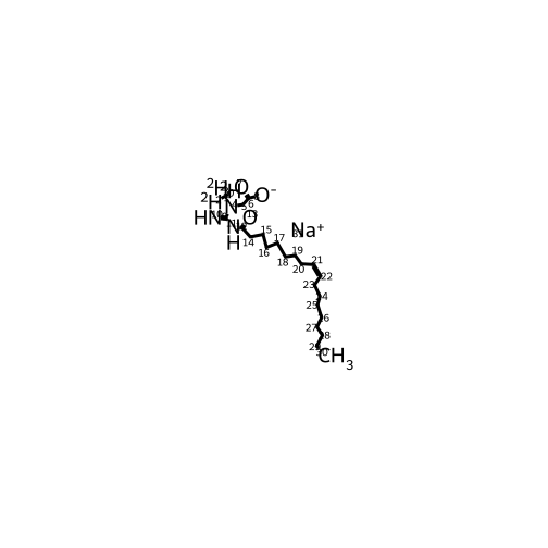 [2H]C([2H])([2H])N(CC(=O)[O-])C(=N)NC(=O)CCCCCCC/C=C\CCCCCCCC.[Na+]